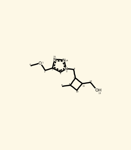 COCc1cn(CC2C(C)CC2CO)nn1